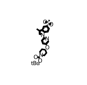 Cc1cn(-c2ccc(OC3CCN(C(=O)OC(C)(C)C)CC3)cn2)c2ccc(S(C)(=O)=O)cc12